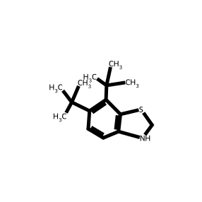 CC(C)(C)c1ccc2c(c1C(C)(C)C)SCN2